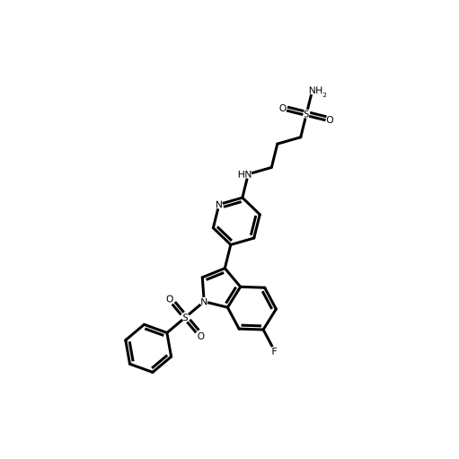 NS(=O)(=O)CCCNc1ccc(-c2cn(S(=O)(=O)c3ccccc3)c3cc(F)ccc23)cn1